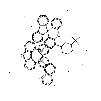 CC(C)(C)C1CCCC(c2cc(N(c3ccc(-c4ccccc4)cc3)c3cccc4oc5cccc(N(c6ccccc6)c6ccccc6)c5c34)cc3c2Oc2ccccc2C32c3ccccc3-c3ccccc32)C1